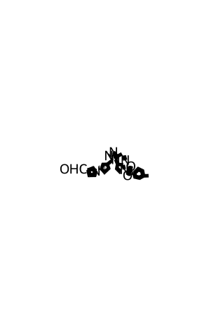 C=NC1C(n2c(C)nnc2C2CC[C@H](n3ccc(C=O)c3)C2)C=CN1S(=O)(=O)c1ccc(C)cc1